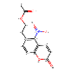 CC(=O)OCCc1ccc2oc(=O)ccc2c1[N+](=O)[O-]